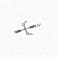 CO[B-](C#N)(C#N)OC.[Li+]